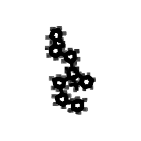 C[Si]1(C)c2ccccc2-c2nc(-c3cccc(-c4cccc5c4sc4ccccc45)c3)nc(-c3cccc(-c4cccc(-c5ccccc5)c4)c3)c21